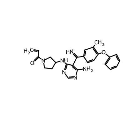 C=CC(=O)N1CCC(Nc2ncnc(N)c2C(=N)c2ccc(Oc3ccccc3)c(C)c2)C1